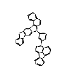 c1cc(-c2ccc3c4c(cccc24)-c2ccccc2-3)cc(-n2c3cc4c(cc3c3c5ccccc5ccc32)sc2ccccc24)c1